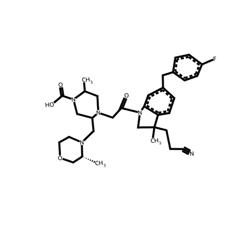 CC1CN(CC(=O)N2CC(C)(CCC#N)c3ccc(Cc4ccc(F)cc4)cc32)C(CN2CCOC[C@H]2C)CN1C(=O)O